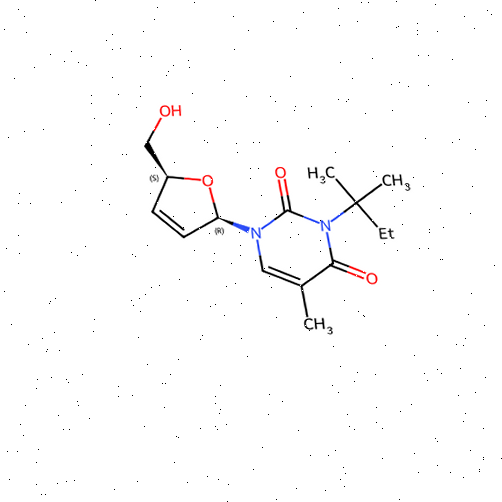 CCC(C)(C)n1c(=O)c(C)cn([C@H]2C=C[C@@H](CO)O2)c1=O